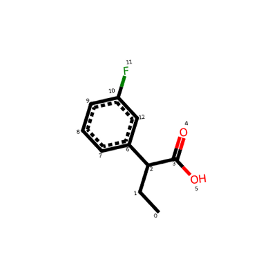 CCC(C(=O)O)c1cccc(F)c1